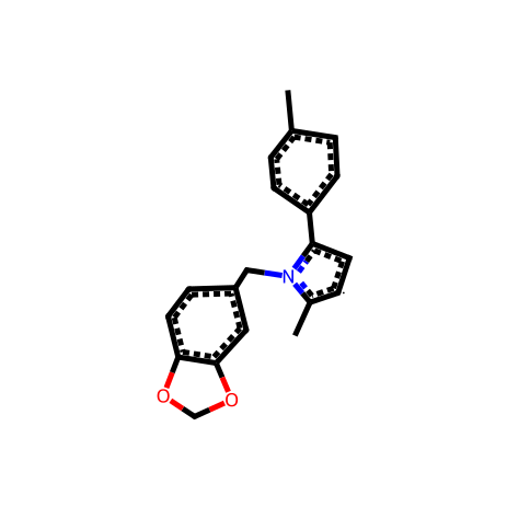 Cc1ccc(-c2c[c]c(C)n2Cc2ccc3c(c2)OCO3)cc1